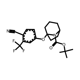 CC(C)(C)OC(=O)N1C2CCCC1(Oc1ccc(C#N)c(C(F)(F)F)c1)CC2